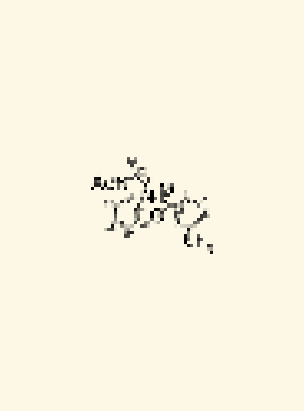 C=C/C(=C\C(=C)C(F)(F)F)S(=O)(=O)N1CC(C)N(C(C)=O)c2ccccc21